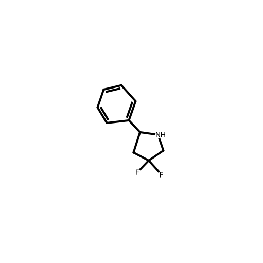 FC1(F)CNC(c2ccccc2)C1